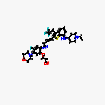 CCN1CCC(Nc2cccc3c(CC(F)(F)F)c(C#CCNc4cc(F)c(N5CCOCC5)cc4OCCO)sc23)CC1